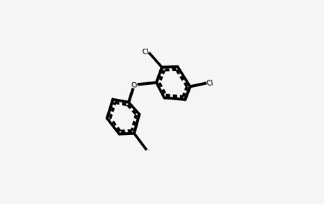 [CH2]c1cccc(Oc2ccc(Cl)cc2Cl)c1